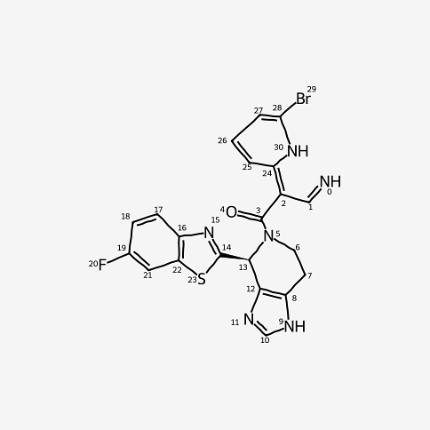 N=C/C(C(=O)N1CCc2[nH]cnc2[C@H]1c1nc2ccc(F)cc2s1)=C1/C=CC=C(Br)N1